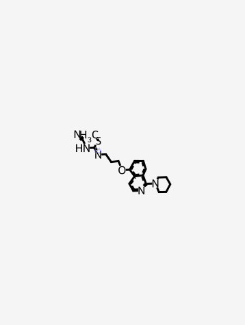 CS/C(=N\CCCOc1cccc2c(N3CCCCC3)nccc12)NC#N